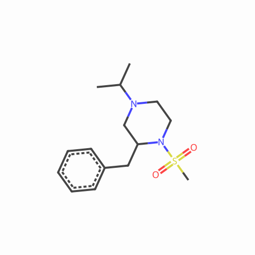 CC(C)N1CCN(S(C)(=O)=O)C(Cc2ccccc2)C1